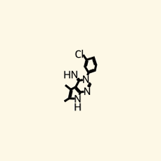 Cc1[nH]c2ncn(-c3cccc(Cl)c3)c(=N)c2c1C